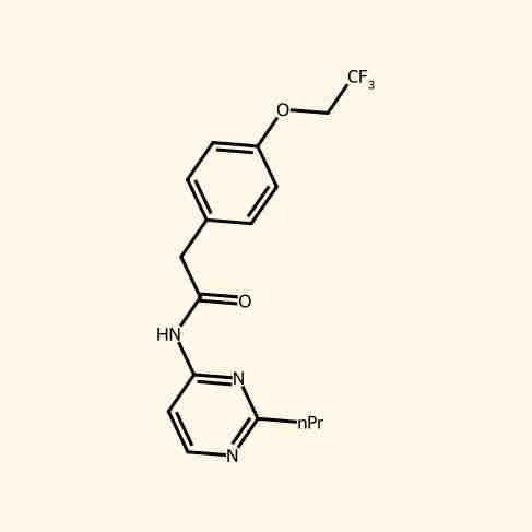 CCCc1nccc(NC(=O)Cc2ccc(OCC(F)(F)F)cc2)n1